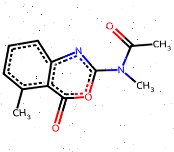 CC(=O)N(C)c1nc2cccc(C)c2c(=O)o1